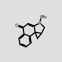 CC(C)(C)N1CC2CC23C1=CC(=O)c1ccccc13